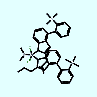 CCCC1=Cc2c(-c3ccccc3[Si](C)(C)C)cccc2[CH]1[Zr]([Cl])([Cl])([CH]1C(CCC)=Cc2c(-c3ccccc3[Si](C)(C)C)cccc21)[SiH](C)C